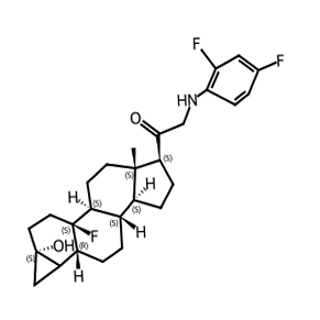 C[C@]12CC[C@H]3[C@@H](CC[C@@H]4C5C[C@@]5(O)CC[C@@]43F)[C@@H]1CC[C@@H]2C(=O)CNc1ccc(F)cc1F